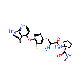 CNC(=O)C1(NC(=O)C(N)Cc2ccc(Oc3ccnc4[nH]cc(C)c34)c(F)c2)CCCC1